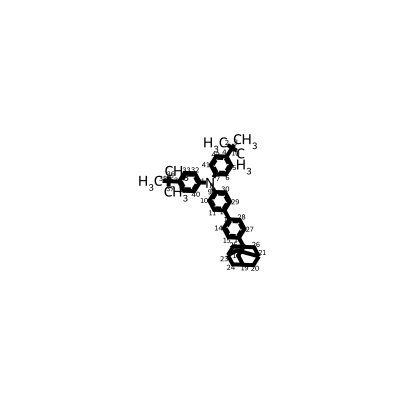 CC(C)(C)c1ccc(N(c2ccc(-c3ccc(C45CC6CC(CC(C6)C4)C5)cc3)cc2)c2ccc(C(C)(C)C)cc2)cc1